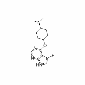 CN(C)C1CCC(Oc2ncnc3[nH]cc(F)c23)CC1